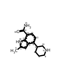 Cc1cc2c(C3CCCNC3)ccc(C(N)=O)c2[nH]1